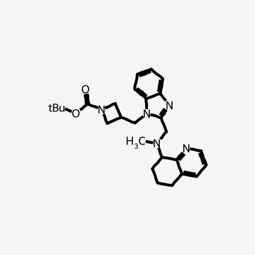 CN(Cc1nc2ccccc2n1CC1CN(C(=O)OC(C)(C)C)C1)C1CCCc2cccnc21